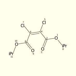 CC(C)OC(=O)/C(Cl)=C(/Cl)C(=O)OC(C)C